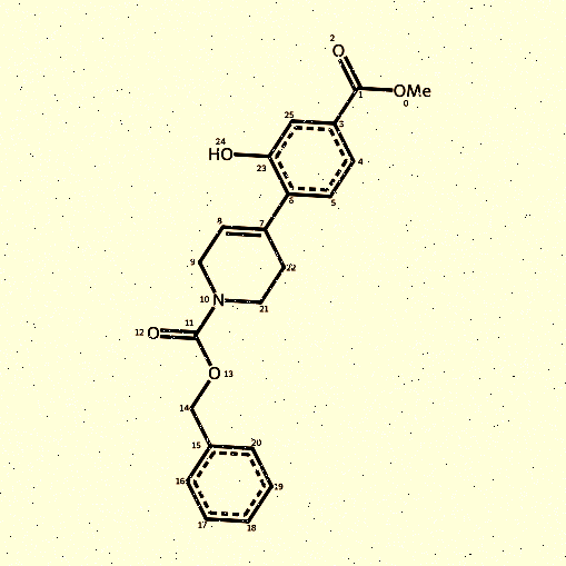 COC(=O)c1ccc(C2=CCN(C(=O)OCc3ccccc3)CC2)c(O)c1